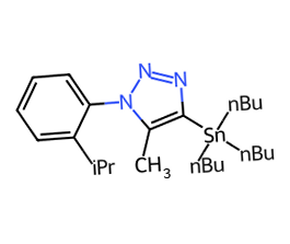 CCC[CH2][Sn]([CH2]CCC)([CH2]CCC)[c]1nnn(-c2ccccc2C(C)C)c1C